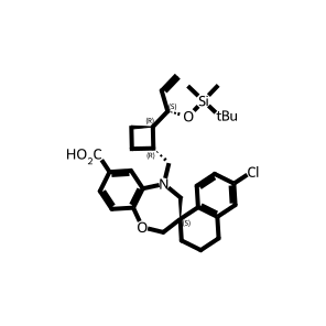 C=C[C@H](O[Si](C)(C)C(C)(C)C)[C@@H]1CC[C@H]1CN1C[C@@]2(CCCc3cc(Cl)ccc32)COc2ccc(C(=O)O)cc21